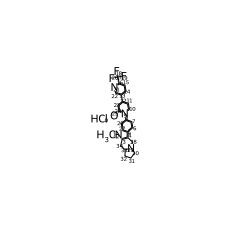 Cl.Cn1c2c(c3ccc(-n4ccc(-c5ccc(C(F)(F)F)nc5)cc4=O)cc31)CN1CCCC1C2